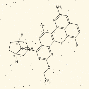 CC(=O)c1cc2c(N3C[C@H]4CC[C@@H](C3)N4C(=O)O)nc(OCC(F)(F)F)nc2c(F)c1-c1nc(N)cc2ccc(F)c(F)c12